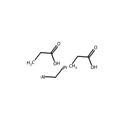 CC(C)[CH2][Al].CCC(=O)O.CCC(=O)O